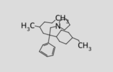 CCCC(C)CC(CN1CCCC1)(c1ccccc1)C1CCC(CC)CC1